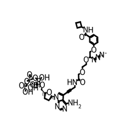 [N-]=[N+]=NC(COc1cccc(C(=O)NC2CCC2)c1)OCCOCC(=O)NCC#Cc1cn([C@H]2CC[C@@H](COP(=O)(O)OP(=O)(O)OP(=O)(O)O)O2)c2ncnc(N)c12